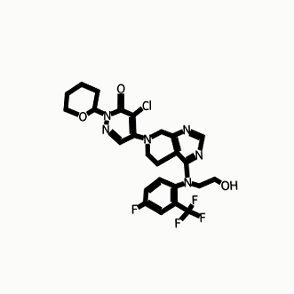 O=c1c(Cl)c(N2CCc3c(ncnc3N(CCO)c3ccc(F)cc3C(F)(F)F)C2)cnn1C1CCCCO1